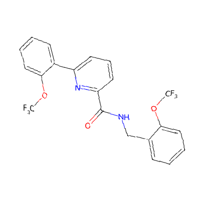 O=C(NCc1ccccc1OC(F)(F)F)c1cccc(-c2ccccc2OC(F)(F)F)n1